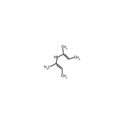 CC=C(C)BC(C)=CC